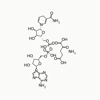 N.NC(=O)C1=CN([C@@H]2O[C@H](COP(=O)(O)OP(=O)(O)OC[C@H]3O[C@@H](n4cnc5c(N)ncnc54)[C@H](O)[C@@H]3O)[C@@H](O)[C@H]2O)C=CC1.O=C(O)CCC(=O)C(=O)O